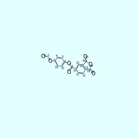 O=COc1ccc(OC(=O)c2ccc3c(c2)C(=O)OC3=O)cc1